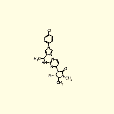 CC(C)[C@H]1C(C)N(C)C(=O)N1c1ccnc(N[C@@H](C)c2cn(-c3ccc(Cl)cc3)cn2)n1